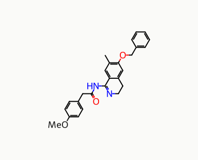 COc1ccc(CC(=O)NC2=NCCc3cc(OCc4ccccc4)c(C)cc32)cc1